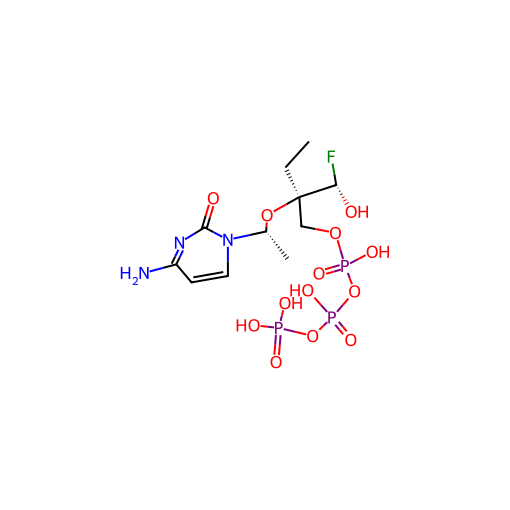 CC[C@](COP(=O)(O)OP(=O)(O)OP(=O)(O)O)(O[C@H](C)n1ccc(N)nc1=O)[C@@H](O)F